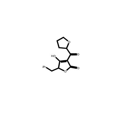 CC(C)CC1OC(=O)C(C(=O)C2CCCO2)=C1O